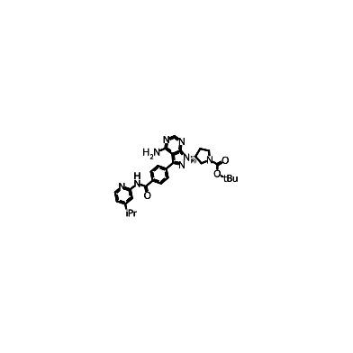 CC(C)c1ccnc(NC(=O)c2ccc(-c3nn([C@@H]4CCN(C(=O)OC(C)(C)C)C4)c4ncnc(N)c34)cc2)c1